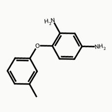 Cc1cccc(Oc2ccc(N)cc2N)c1